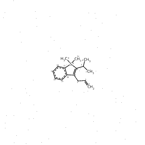 C=CCC1=C(C(C)C)S(C)(C)c2ccccc21